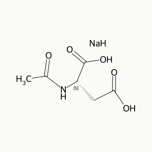 CC(=O)N[C@@H](CC(=O)O)C(=O)O.[NaH]